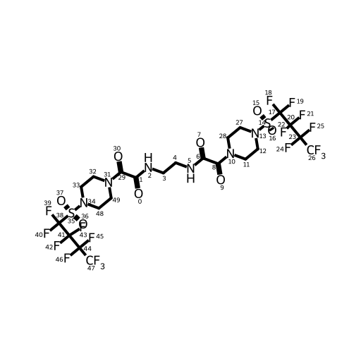 O=C(NCCNC(=O)C(=O)N1CCN(S(=O)(=O)C(F)(F)C(F)(F)C(F)(F)C(F)(F)F)CC1)C(=O)N1CCN(S(=O)(=O)C(F)(F)C(F)(F)C(F)(F)C(F)(F)F)CC1